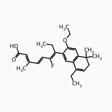 CCOc1cc2c(cc1C(CC)=C(F)C=CC(C)=CC(=O)O)C(CC)=CCC2(C)C